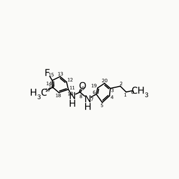 CCCc1ccc(NC(=O)Nc2ccc(F)c(C)c2)cc1